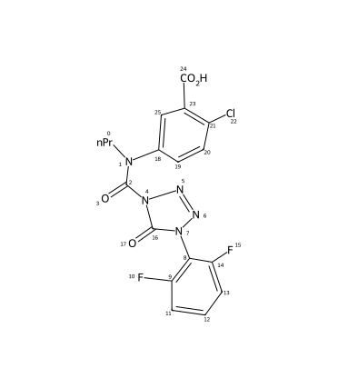 CCCN(C(=O)n1nnn(-c2c(F)cccc2F)c1=O)c1ccc(Cl)c(C(=O)O)c1